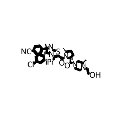 CC(C)C1=C(C(=O)N2[C@H](C)CC[C@H]2C(=O)N2CCN(CCO)[C@H](C)C2)SC2=N[C@@](C)(c3ccc(C#N)cc3)[C@@H](c3ccc(Cl)cc3)N21